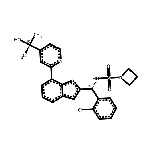 C[C@@](O)(c1ccnc(-c2cccc3cc([C@H](NS(=O)(=O)N4CCC4)c4ccccc4Cl)sc23)c1)C(F)(F)F